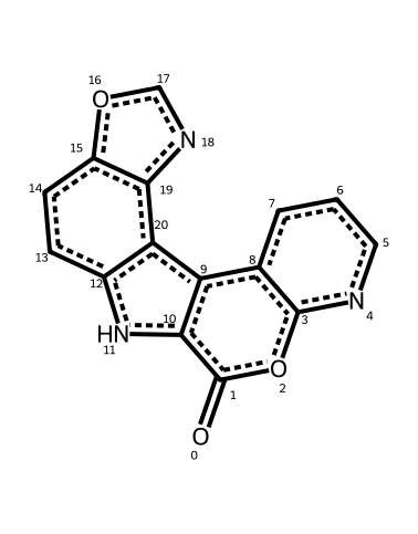 O=c1oc2ncccc2c2c1[nH]c1ccc3ocnc3c12